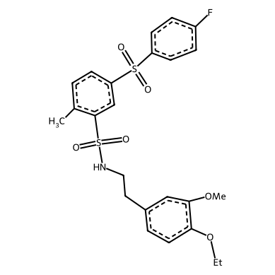 CCOc1ccc(CCNS(=O)(=O)c2cc(S(=O)(=O)c3ccc(F)cc3)ccc2C)cc1OC